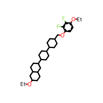 CCOc1ccc(OCC2CCC(C3CCC(C4CCC5CC(OCC)CCC5C4)CC3)CC2)c(F)c1F